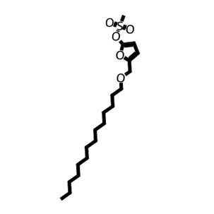 CCCCCCCCCCCCCCOCc1ccc(OS(C)(=O)=O)o1